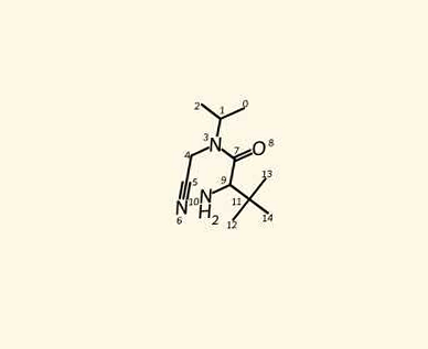 CC(C)N(CC#N)C(=O)C(N)C(C)(C)C